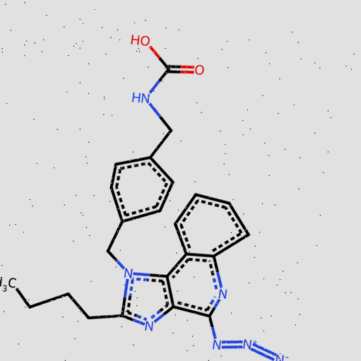 CCCCc1nc2c(N=[N+]=[N-])nc3ccccc3c2n1Cc1ccc(CNC(=O)O)cc1